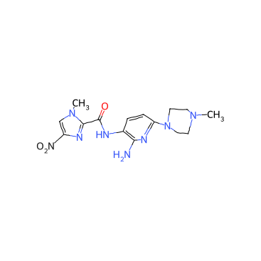 CN1CCN(c2ccc(NC(=O)c3nc([N+](=O)[O-])cn3C)c(N)n2)CC1